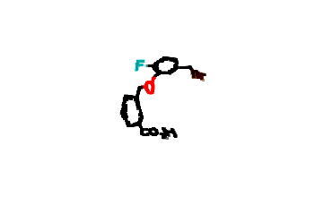 O=C(O)c1cccc(COc2cc(CBr)ccc2F)c1